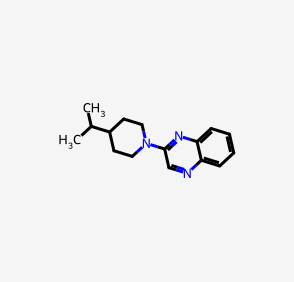 CC(C)C1CCN(c2cnc3ccccc3n2)CC1